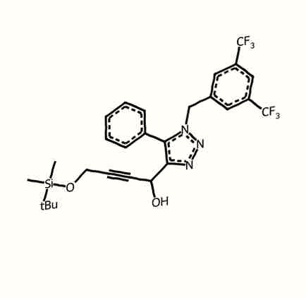 CC(C)(C)[Si](C)(C)OCC#CC(O)c1nnn(Cc2cc(C(F)(F)F)cc(C(F)(F)F)c2)c1-c1ccccc1